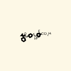 O=C(O)c1cc(F)c(NSc2ccc(NC(=O)C3(C4=CCCC=C4)CC3)cc2)cc1F